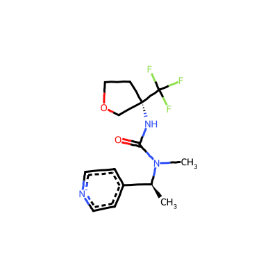 C[C@@H](c1ccncc1)N(C)C(=O)N[C@@]1(C(F)(F)F)CCOC1